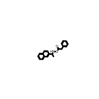 CC(NOC(=O)Cc1ccccc1)c1ccc2ccccc2c1